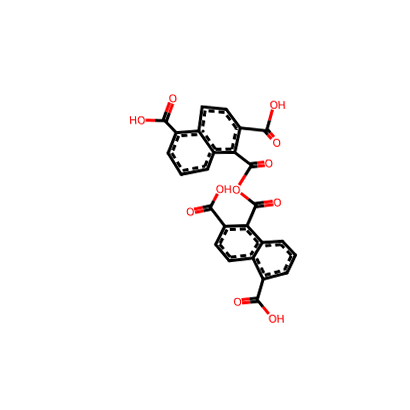 O=C(O)c1ccc2c(C(=O)O)cccc2c1C(=O)OC(=O)c1c(C(=O)O)ccc2c(C(=O)O)cccc12